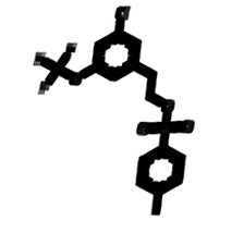 Cc1ccc(S(=O)(=O)OCCc2cc(Cl)cc(OC(F)(F)F)c2)cc1